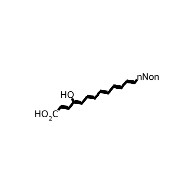 CCCCCCCCCC=CC=CC=CC=CC=C(O)C=CC(=O)O